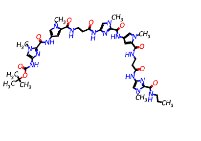 CCCNC(=O)c1nc(NC(=O)CCNC(=O)c2cc(NC(=O)c3nc(NC(=O)CCNC(=O)c4cc(NC(=O)c5nc(NC(=O)OC(C)(C)C)cn5C)cn4C)cn3C)cn2C)cn1C